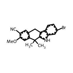 COc1cc2c(cc1C#N)Cc1c([nH]c3cc(Br)ccc13)C2(C)C